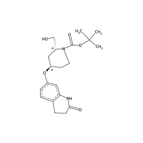 CC(C)(C)OC(=O)N1CC[C@@H](Oc2ccc3c(c2)NC(=O)CC3)C[C@@H]1CO